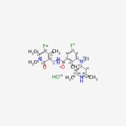 CCN(c1cc(F)cc(C(=O)NCc2c(C)c(F)c(C)n(C)c2=O)c1C)C1C[C@@H](C)N[C@H](C)C1.Cl